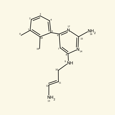 Cc1cccc(-c2cc(NCC=CN)nc(N)n2)c1C